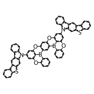 c1ccc2c(c1)Oc1cc(-n3c4ccccc4c4cc5c(cc43)sc3ccccc35)cc3c1B2c1cc2c(cc1O3)Oc1cc(-n3c4ccccc4c4cc5c(cc43)sc3ccccc35)cc3c1B2c1ccccc1O3